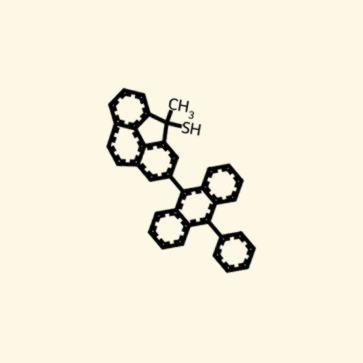 CC1(S)c2cccc3ccc4cc(-c5c6ccccc6c(-c6ccccc6)c6ccccc56)cc1c4c23